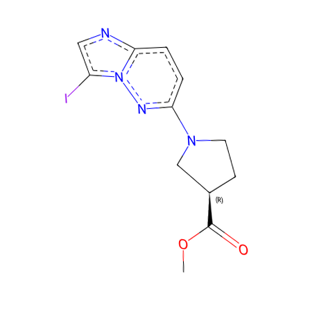 COC(=O)[C@@H]1CCN(c2ccc3ncc(I)n3n2)C1